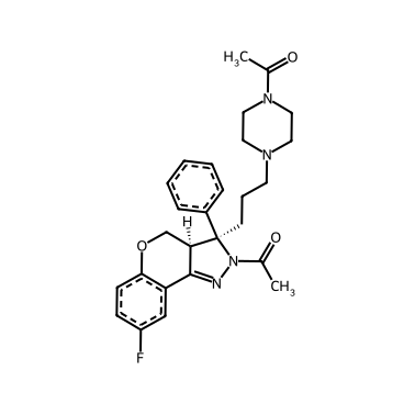 CC(=O)N1CCN(CCC[C@@]2(c3ccccc3)[C@@H]3COc4ccc(F)cc4C3=NN2C(C)=O)CC1